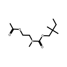 CCC(C)(C)COC(=O)N(C)CCOC(C)=O